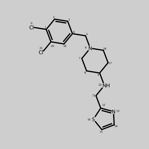 Clc1ccc(CN2CCC(NCc3nccs3)CC2)cc1Cl